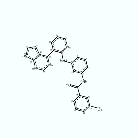 O=C(Nc1cccc(Nc2ncccc2-c2ncnc3[nH]ccc23)c1)c1cccc(C(F)(F)F)c1